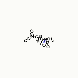 C=C(/N=C(\C=C(/C)c1ccccc1)c1ccc(C(CC)(CC)c2ccc(-c3cc(-c4ccccc4)nc(-c4ccc(-c5ccccc5)cc4)n3)cc2)cc1)c1ccc(-c2ccccc2)cc1